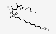 CCCCCCCCCCCCS(=O)(=O)NC(C)CC(=O)O.CCN